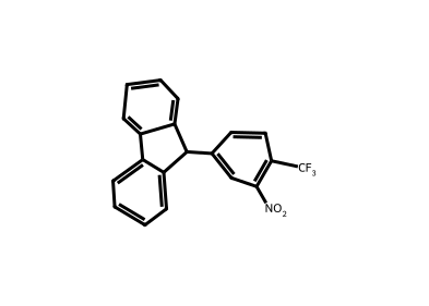 O=[N+]([O-])c1cc(C2c3ccccc3-c3ccccc32)ccc1C(F)(F)F